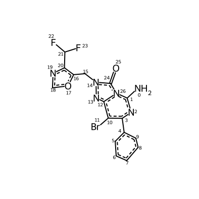 Nc1nc(-c2ccccc2)c(Br)c2nn(Cc3ocnc3C(F)F)c(=O)n12